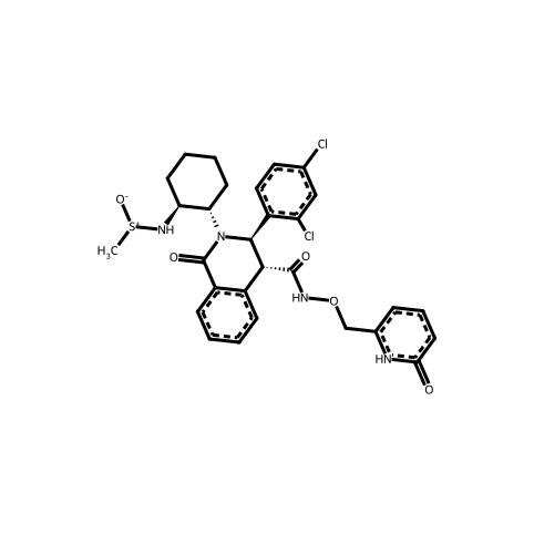 C[S+]([O-])N[C@H]1CCCC[C@@H]1N1C(=O)c2ccccc2[C@@H](C(=O)NOCc2cccc(=O)[nH]2)[C@@H]1c1ccc(Cl)cc1Cl